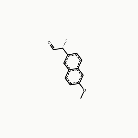 COc1ccc2cc([C@@H](C)[C]=O)ccc2c1